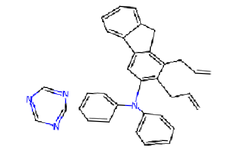 C=CCc1c(N(c2ccccc2)c2ccccc2)cc2c(c1CC=C)Cc1ccccc1-2.c1ncncn1